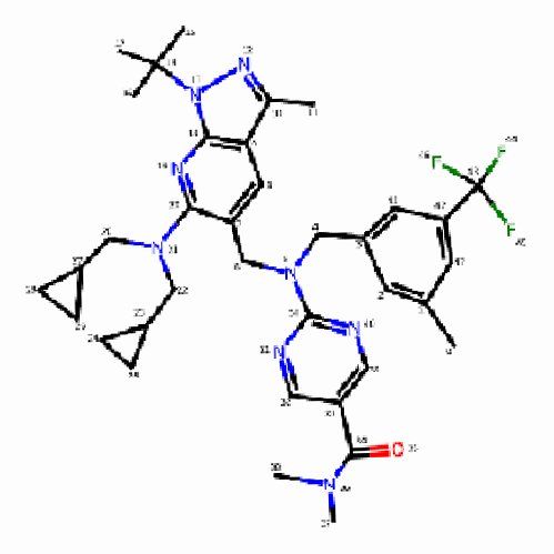 Cc1cc(CN(Cc2cc3c(C)nn(C(C)(C)C)c3nc2N(CC2CC2)CC2CC2)c2ncc(C(=O)N(C)C)cn2)cc(C(F)(F)F)c1